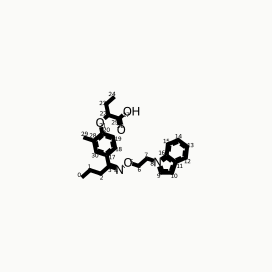 CCCC(=NOCCn1ccc2ccccc21)c1ccc(OC(CC)C(=O)O)c(C)c1